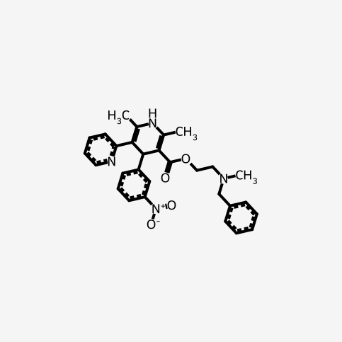 CC1=C(C(=O)OCCN(C)Cc2ccccc2)C(c2cccc([N+](=O)[O-])c2)C(c2ccccn2)=C(C)N1